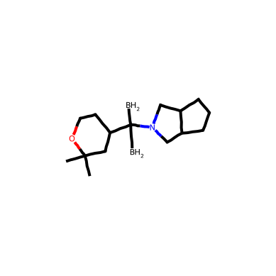 BC(B)(C1CCOC(C)(C)C1)N1CC2CCCC2C1